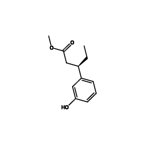 CC[C@H](CC(=O)OC)c1cccc(O)c1